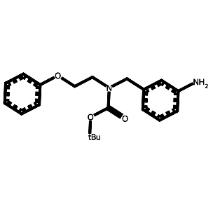 CC(C)(C)OC(=O)N(CCOc1ccccc1)Cc1cccc(N)c1